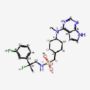 CN(c1ncnc2[nH]ccc12)C1CCC(CS(=O)(=O)NCC(C)(F)c2cccc(F)c2)CC1